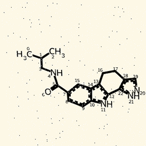 CC(C)CNC(=O)c1ccc2[nH]c3c(c2c1)CCc1cn[nH]c1-3